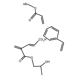 C=C(C=CC(=O)O)C(=O)OCC(C)O.C=CC(=O)OCCCC.C=Cc1ccccc1